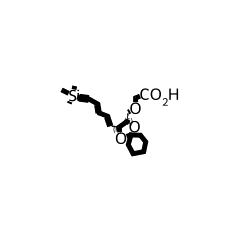 C[Si](C)(C)C#CC=CC=C[C@H]1OC2(CCCCC2)O[C@H]1COCC(=O)O